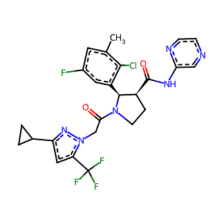 Cc1cc(F)cc([C@H]2[C@@H](C(=O)Nc3cnccn3)CCN2C(=O)Cn2nc(C3CC3)cc2C(F)(F)F)c1Cl